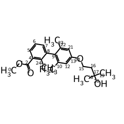 COC(=O)c1cccc(-c2c(C)cc(OCCC(C)(C)O)cc2C)c1C